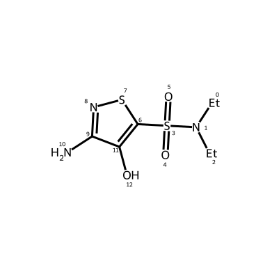 CCN(CC)S(=O)(=O)c1snc(N)c1O